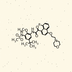 COc1c(NC(=O)C(=O)c2ccc(OCCN3CCOCC3)c3cccc(F)c23)cc(C(C)(C)C)cc1NS(C)(=O)=O